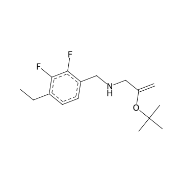 C=C(CNCc1ccc(CC)c(F)c1F)OC(C)(C)C